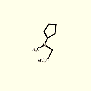 CCOC(=O)CN(C)C1CCCC1